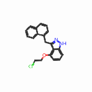 ClCCOc1cccc2[nH]nc(Cc3cccc4ccccc34)c12